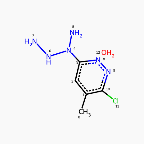 Cc1cc(N(N)NN)nnc1Cl.O